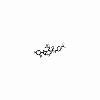 CC(=O)N1CCC(NC(=O)c2cnn3cc(-c4ccncc4F)nc3c2NC(C)C)CC1